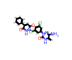 C=C1NC(=O)N(c2cc(Cl)c(Oc3cc(-c4ccccc4)c(=O)[nH]n3)c(Cl)c2)N=C1N